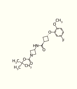 COc1ccc(F)cc1O[C@H]1C[C@H](C(=O)NC2CN(C(=O)OC(C)(C)C)C2)C1